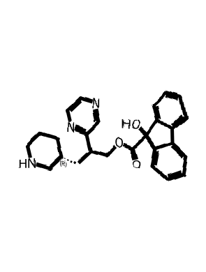 O=C(OCC(C[C@H]1CCCNC1)c1cnccn1)C1(O)c2ccccc2-c2ccccc21